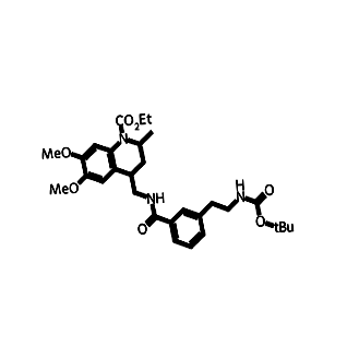 CCOC(=O)N1c2cc(OC)c(OC)cc2C(CNC(=O)c2cccc(CCNC(=O)OC(C)(C)C)c2)CC1C